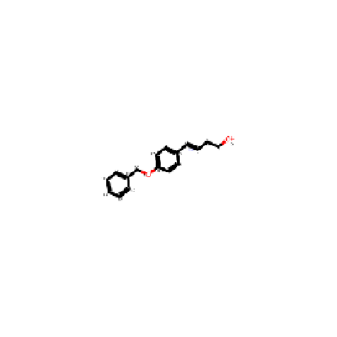 OCC/C=C/c1ccc(OCc2ccccc2)cc1